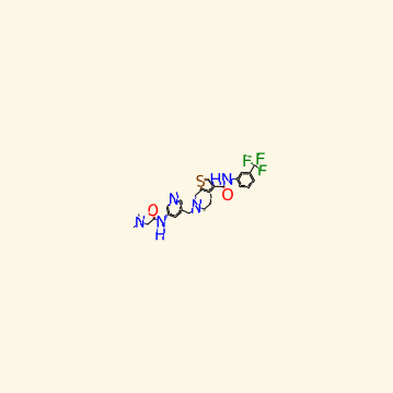 CN(C)CC(=O)Nc1cncc(CN2CCc3c(C(=O)Nc4cccc(C(F)(F)F)c4)csc3C2)c1